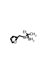 BC(C)(BCc1ccco1)CC